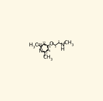 CNCCOc1cc(C)nc(C)c1